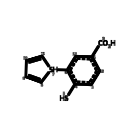 O=C(O)c1ccc(S)c([SH]2C=CC=C2)c1